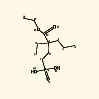 CCCC(CC)(CCP(=O)(O)O)C(=O)OCC